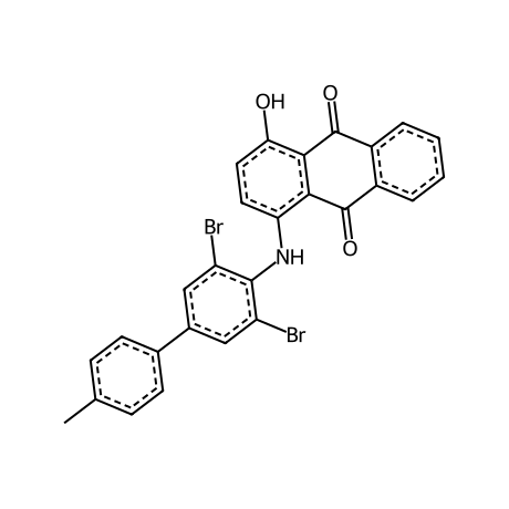 Cc1ccc(-c2cc(Br)c(Nc3ccc(O)c4c3C(=O)c3ccccc3C4=O)c(Br)c2)cc1